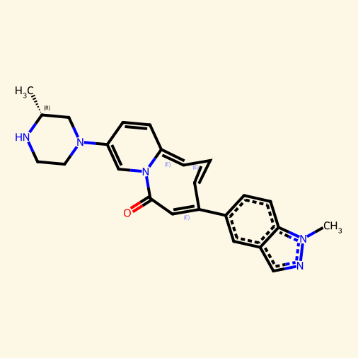 C[C@@H]1CN(C2=CN3C(=O)\C=C(c4ccc5c(cnn5C)c4)/C=C/C=C/3C=C2)CCN1